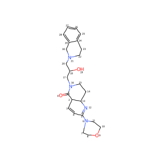 O=C1C2C=CC(N3CCOCC3)=NC2CCN1CC(O)CN1CCc2ccccc2C1